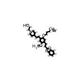 CCCCOc1cc(/C=C/c2nc3ccccc3o2)c(OC)cc1/C=C/c1cc[n+](CCO)cc1.[Br-]